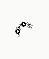 CC(=O)C(C)Oc1ccc(Oc2nc3ccc(Cl)cc3o2)cc1